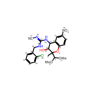 COC(OC)C1(C)Oc2ccc([N+](=O)[O-])cc2C(NC(=NC#N)NCc2ccccc2Cl)C1O